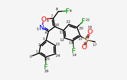 Cc1cc(-c2noc(CF)c2-c2cc(F)c(S(C)(=O)=O)c(F)c2)ccc1F